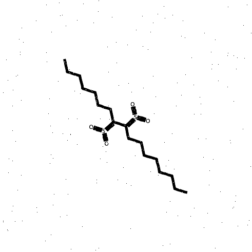 CCCCCCCCC(C(CCCCCCC)=S(=O)=O)=S(=O)=O